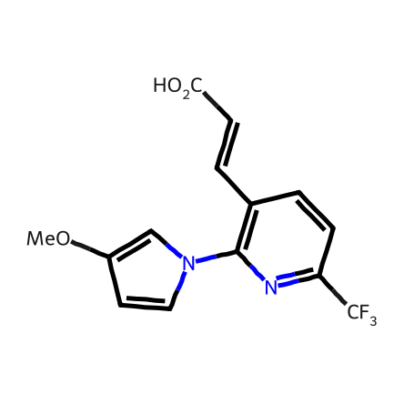 COc1ccn(-c2nc(C(F)(F)F)ccc2C=CC(=O)O)c1